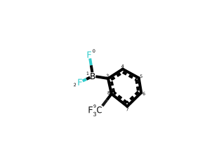 FB(F)c1ccccc1C(F)(F)F